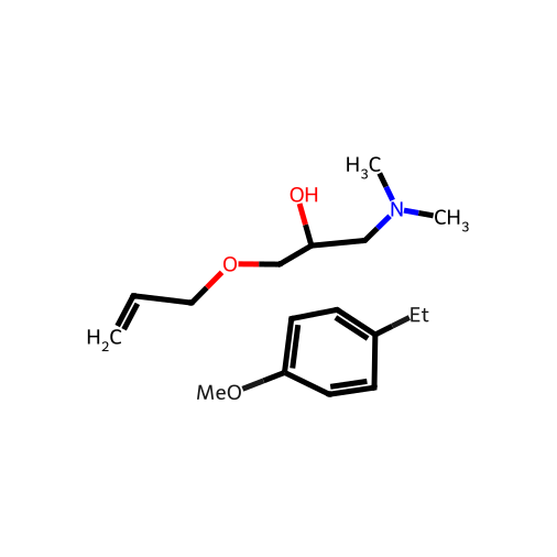 C=CCOCC(O)CN(C)C.CCc1ccc(OC)cc1